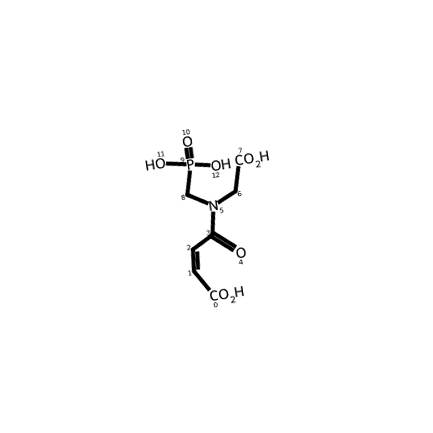 O=C(O)/C=C\C(=O)N(CC(=O)O)CP(=O)(O)O